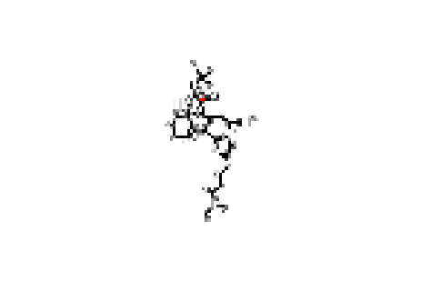 CC(C)CC(C(=O)c1nnc(SCCCN(C)C)o1)N(C=O)C1(NC(=O)OC(C)(C)C)CCCCC1.Cl